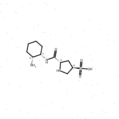 N[C@@H]1CCCC[C@@H]1NC(=O)[C@@H]1C[C@@H](S(=O)(=O)O)CN1